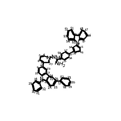 NC(NN1C=CC=C(c2ccc3c(c2)c2cc(-c4ccccc4)ccc2n3-c2ccccc2)C1)c1ccc(-c2cccc(-n3c4ccccc4c4ccccc43)c2)cc1